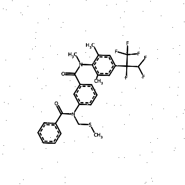 CSCN(C(=O)c1ccccc1)c1cccc(C(=O)N(C)c2c(C)cc(C(F)(C(F)F)C(F)(F)F)cc2C)c1